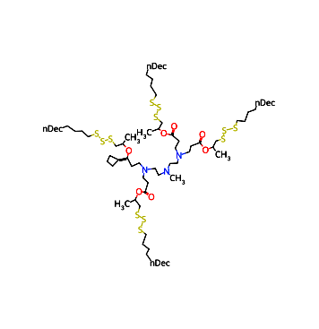 CCCCCCCCCCCCCCSSSCC(C)OC(=O)CCN(CCC(=O)OC(C)CSSSCCCCCCCCCCCCCC)CCN(C)CCN(CCC(=O)OC(C)CSSSCCCCCCCCCCCCCC)CCC(OC(C)CSSSCCCCCCCCCCCCCC)=C1CCC1